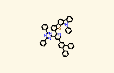 c1ccc(-c2nc(-c3ccccc3)nc(-c3cc(-c4ccc(-c5ccccc5)c(-c5ccccc5)c4)cnc3-c3cccc4c3sc3c4ccc4c5ccccc5n(-c5ccccc5)c43)n2)cc1